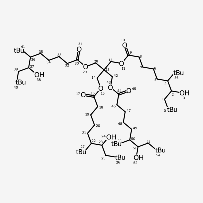 CC(C)(C)CC(O)C(CCCCC(=O)OCC(COC(=O)CCCCC(C(O)CC(C)(C)C)C(C)(C)C)(COC(=O)CCCCC(C(O)CC(C)(C)C)C(C)(C)C)COC(=O)CCCCC(C(O)CC(C)(C)C)C(C)(C)C)C(C)(C)C